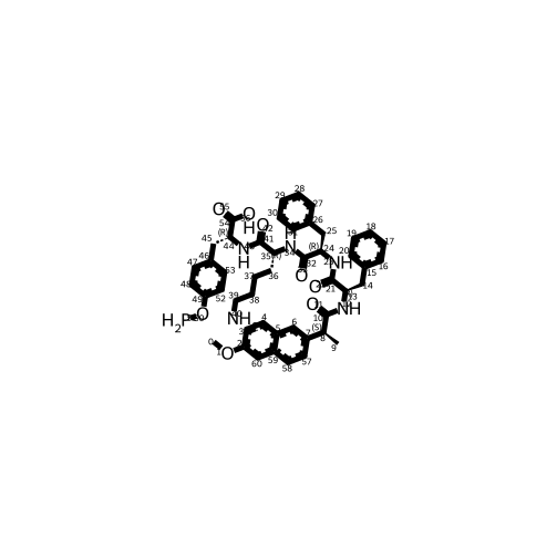 COc1ccc2cc([C@H](C)C(=O)N[C@H](Cc3ccccc3)C(=O)N[C@H](Cc3ccccc3)C(=O)N[C@H](CCCCN)C(=O)N[C@H](Cc3ccc(OP)cc3)C(=O)O)ccc2c1